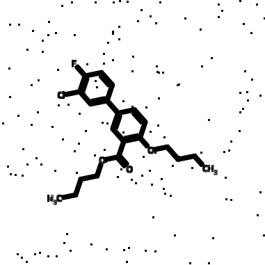 CCCCOC(=O)c1cc(-c2ccc(F)c(Cl)c2)ccc1OCCCC